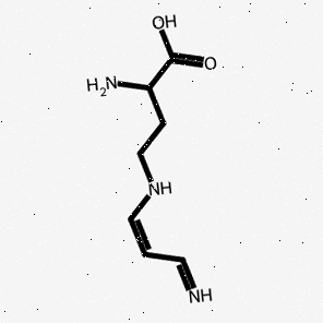 N=C/C=C\NCCC(N)C(=O)O